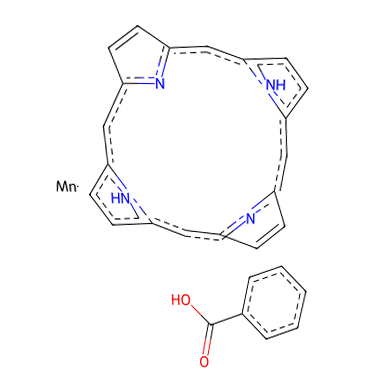 C1=Cc2cc3ccc(cc4nc(cc5ccc(cc1n2)[nH]5)C=C4)[nH]3.O=C(O)c1ccccc1.[Mn]